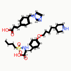 CCCCS(=O)(=O)N[C@@H](Cc1ccc(OCCCCC2CCNCC2)cc1)C(=O)O.O=C(O)/C=C/c1ccc(Cn2ccnc2)cc1